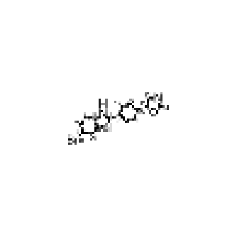 Brc1ccc2[nH]c(-c3ccc(-c4cnco4)cc3)nc2c1